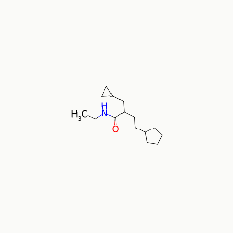 CCNC(=O)C(CCC1CCCC1)CC1CC1